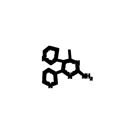 Cc1nc(N)nc(-c2cccnc2)c1-c1cccnc1